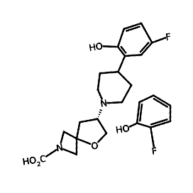 O=C(O)N1CC2(C[C@H](N3CCC(c4cc(F)ccc4O)CC3)CO2)C1.Oc1ccccc1F